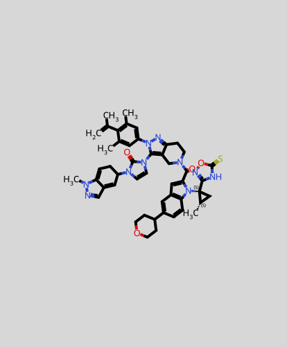 C=C(C)c1c(C)cc(-n2nc3c(c2-n2ccn(C4C=c5cnn(C)c5=CC4)c2=O)CN(C(=O)c2cc4cc(C5CCOCC5)ccc4n2[C@@]2(c4noc(=S)[nH]4)C[C@@H]2C)CC3)cc1C